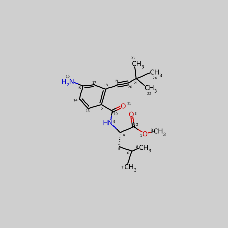 COC(=O)[C@H](CC(C)C)NC(=O)c1ccc(N)cc1C#CC(C)(C)C